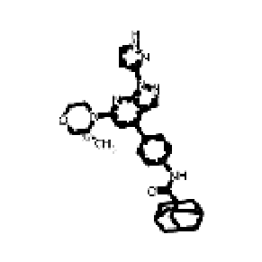 C[C@@H]1COCCN1c1cc(-c2ccc(NC(=O)C34CC5CC(CC(C5)C3)C4)cc2)c2cnn(-c3cc[nH]n3)c2n1